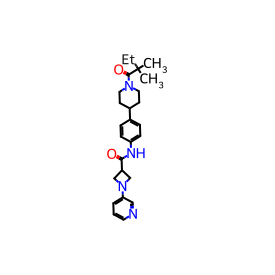 CCC(C)(C)C(=O)N1CCC(c2ccc(NC(=O)C3CN(c4cccnc4)C3)cc2)CC1